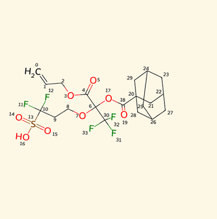 C=CCOC(=O)C(OCCC(F)(F)S(=O)(=O)O)(OC(=O)C12CC3CC(CC(C3)C1)C2)C(F)(F)F